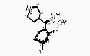 Cl.O/N=C(/c1ccc(F)cc1F)C1CCNCC1